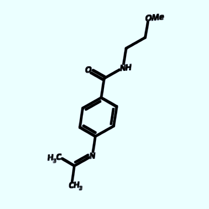 COCCNC(=O)c1ccc(N=C(C)C)cc1